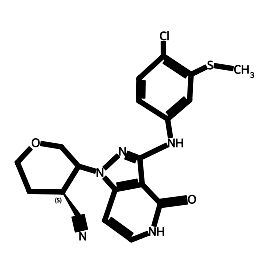 CSc1cc(Nc2nn(C3COCC[C@@H]3C#N)c3cc[nH]c(=O)c23)ccc1Cl